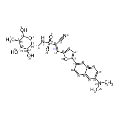 C[C@H]1C(O)O[C@H](CNS(=O)(=O)/C(C#N)=C/c2ccc(-c3ccc4cc(N(C)C)ccc4c3)o2)[C@@H](O)[C@@H]1O